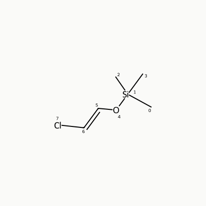 C[Si](C)(C)OC=CCl